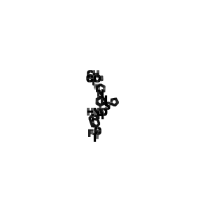 COC(=O)C[C@@H]1CCCN(c2ccc(C(=O)N[C@H]3C4CC5CC3C[C@](OC(F)F)(C5)C4)c(SC3CCCC3)n2)C1